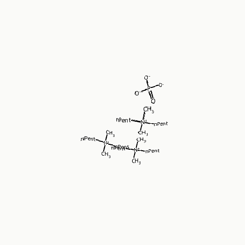 CCCCC[N+](C)(C)CCCCC.CCCCC[N+](C)(C)CCCCC.CCCCC[N+](C)(C)CCCCC.O=P([O-])([O-])[O-]